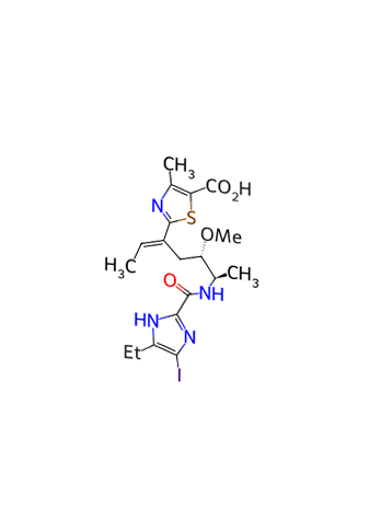 C/C=C(\C[C@H](OC)[C@@H](C)NC(=O)c1nc(I)c(CC)[nH]1)c1nc(C)c(C(=O)O)s1